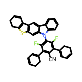 N#Cc1c(C2=CC=CCC2)c(F)c(-n2c3ccccc3c3cc4c5c(sc4cc32)CCC=C5)c(F)c1C1=CC=CCC1